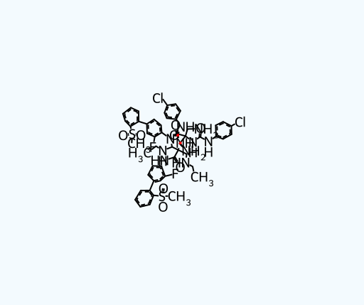 CCNCC(NC(=O)Nc1ccc(Cl)cc1)(C(=O)Nc1ccc(-c2ccccc2S(C)(=O)=O)cc1F)C(NCC)N(C(=O)C(CN)(CN)NC(=O)Nc1ccc(Cl)cc1)c1ccc(-c2ccccc2S(C)(=O)=O)cc1F